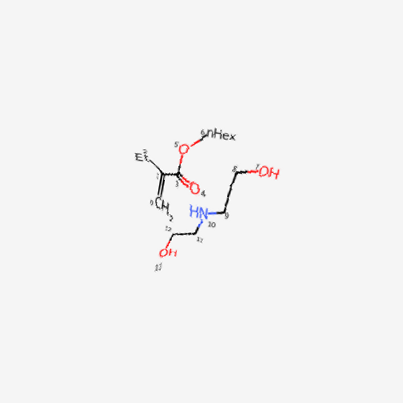 C=C(CC)C(=O)OCCCCCC.OCCNCCO